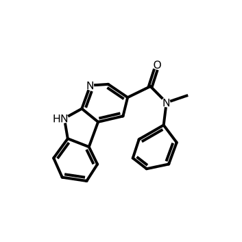 CN(C(=O)c1cnc2[nH]c3ccccc3c2c1)c1ccccc1